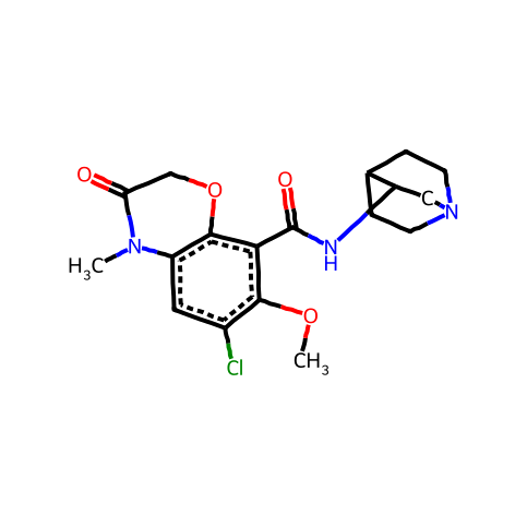 COc1c(Cl)cc2c(c1C(=O)NC1CN3CCC1CC3)OCC(=O)N2C